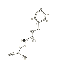 CCCC(CCNC(=O)OCc1ccccc1)C(C)=O